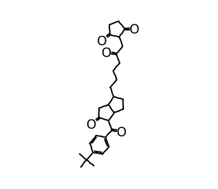 CC(C)(C)c1ccc(C(=O)C2C(=O)CC3C(CCCCC(=O)CC4C(=O)CCC4=O)CCC23)cc1